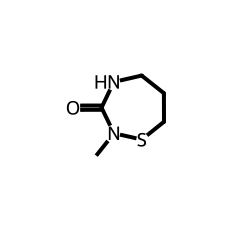 CN1SCCCNC1=O